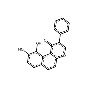 O=c1c(-c2ccccc2)coc2ccc3ccc(O)c(O)c3c12